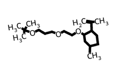 C=C(C)C1CCC(C)CC1OCCOCCCOC(C)(C)C